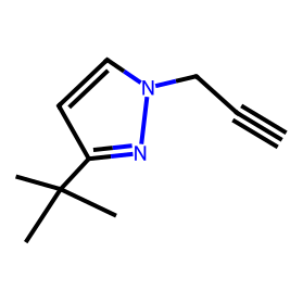 C#CCn1ccc(C(C)(C)C)n1